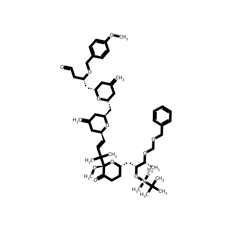 C=C1C[C@H](C[C@@H]2CC(=C)C[C@H](C=CC(C)(C)[C@]3(OC)O[C@H](C[C@@H](O[Si](C)(C)C(C)(C)C)[C@@H](C)OCOCc4ccccc4)CCC3=O)O2)O[C@H](C[C@H](CC=O)OCc2ccc(OC)cc2)C1